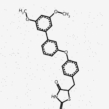 COc1cc(OC)cc(-c2cccc(Oc3ccc(CC4SC(=O)NC4=O)cc3)c2)c1